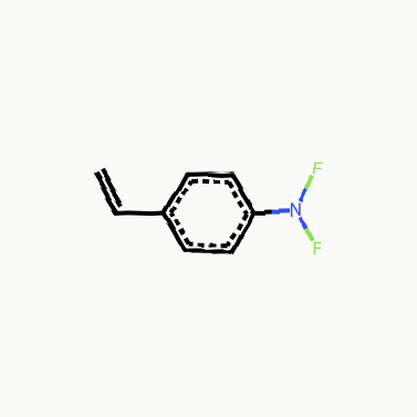 C=Cc1ccc(N(F)F)cc1